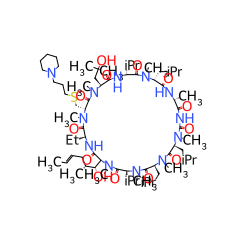 C/C=C/C[C@@H](C)[C@@H](O)[C@H]1C(=O)N[C@@H](CC)C(=O)N(C)[C@H](CSCCCN2CCCCC2)C(=O)N(C)[C@@H](CC(C)(C)O)C(=O)N[C@H](C(C)C)C(=O)N(C)[C@H](CC(C)C)C(=O)N[C@H](C)C(=O)NC(=O)N(C)[C@@H](CC(C)C)C(=O)N(C)[C@@H](CC(C)C)C(=O)N(C)[C@@H](C(C)C)C(=O)N1C